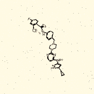 O=C(Nc1ccc(CN2CCN(c3nccc(Nc4cc(C5CC5)[nH]n4)n3)CC2)cc1)c1ccc(F)cc1C(F)(F)F